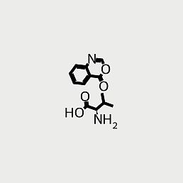 CC(C)[C@H](N)C(=O)O.O=c1ocnc2ccccc12